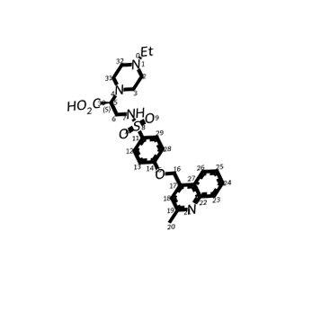 CCN1CCN([C@@H](CNS(=O)(=O)c2ccc(OCc3cc(C)nc4ccccc34)cc2)C(=O)O)CC1